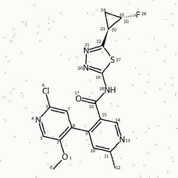 COc1cnc(Cl)cc1-c1cc(C)ncc1C(=O)Nc1nnc([C@H]2C[C@@H]2F)s1